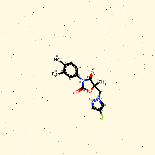 CC1(Cn2cc(F)cn2)OC(=O)N(c2ccc(C#N)c(C(F)(F)F)c2)C1=O